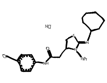 CCCN1C(=NC2CCCCC2)SCC1CC(=O)Nc1ccc(Cl)cc1.Cl